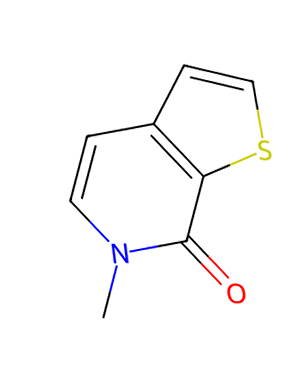 Cn1ccc2ccsc2c1=O